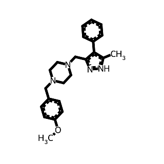 COc1ccc(CN2CCN(Cc3n[nH]c(C)c3-c3ccccc3)CC2)cc1